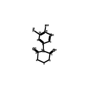 O=C1CCCC(=O)N1c1cnc(F)c(F)c1